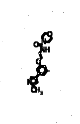 Cn1cc(-c2c[c]cc(OCCNC(=O)N3CCOCC3)c2)cn1